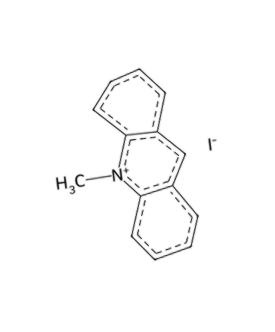 C[n+]1c2ccccc2cc2ccccc21.[I-]